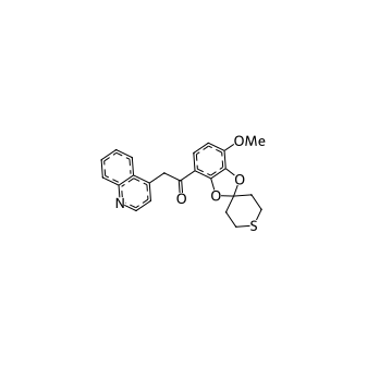 COc1ccc(C(=O)Cc2ccnc3ccccc23)c2c1OC1(CCSCC1)O2